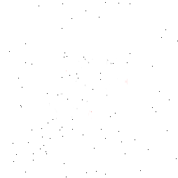 O=Nc1c(O)cc2c(c1[N+](=O)[O-])C(=O)c1ccccc1C2=O